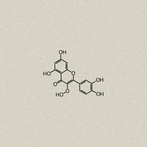 O=c1c(OO)c(-c2ccc(O)c(O)c2)oc2cc(O)cc(O)c12